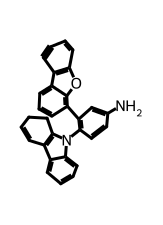 Nc1ccc(-n2c3c(c4ccccc42)C=CCC3)c(-c2cccc3c2oc2ccc#cc23)c1